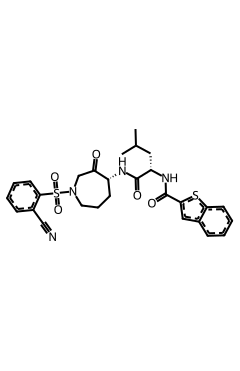 CC(C)C[C@H](NC(=O)c1cc2ccccc2s1)C(=O)N[C@@H]1CCCN(S(=O)(=O)c2ccccc2C#N)CC1=O